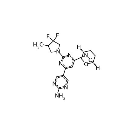 CC1CN(c2nc(-c3cnc(N)nc3)cc(N3C[C@@H]4CC[C@H]3CO4)n2)CC1(F)F